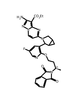 CCOC(=O)c1c(N)nn2ccc(N3CC4CC4C3c3cc(F)cnc3OCC[C@@H](C)N3C(=O)c4ccccc4C3=O)nc12